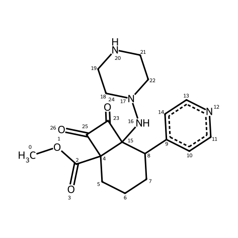 COC(=O)C12CCCC(c3ccncc3)C1(NN1CCNCC1)C(=O)C2=O